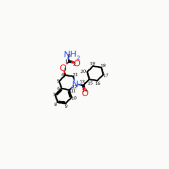 NC(=O)OC1Cc2ccccc2N(C(=O)C2CCCCC2)C1